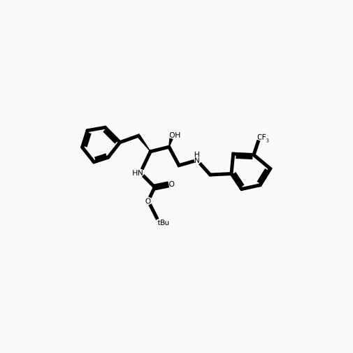 CC(C)(C)OC(=O)N[C@@H](Cc1ccccc1)[C@@H](O)CNCc1cccc(C(F)(F)F)c1